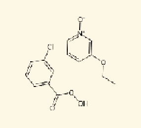 CCOc1ccc[n+]([O-])c1.O=C(OO)c1cccc(Cl)c1